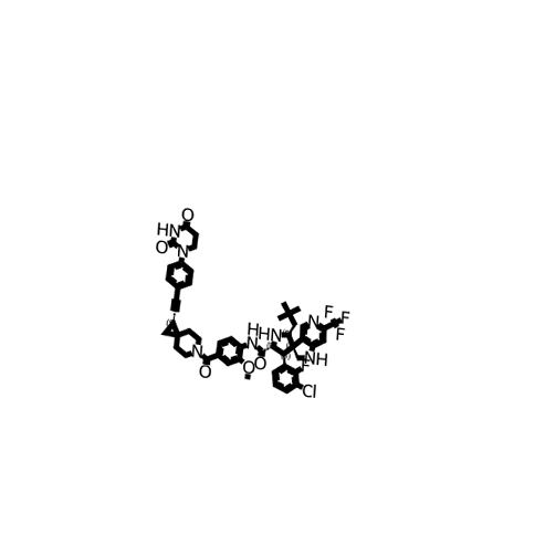 COc1cc(C(=O)N2CCC3(CC2)C[C@@H]3C#Cc2ccc(N3CCC(=O)NC3=O)cc2)ccc1NC(=O)[C@@H]1N[C@@H](CC(C)(C)C)[C@@]2(CNc3cc(C(F)(F)F)ncc32)[C@H]1c1cccc(Cl)c1F